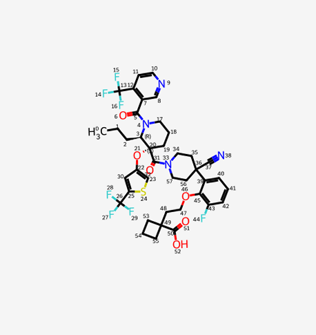 CCC[C@H]1N(C(=O)c2cnccc2C(F)(F)F)CCC[C@@]1(Oc1csc(C(F)(F)F)c1)C(=O)N1CCC(C#N)(c2cccc(F)c2OCCC2(C(=O)O)CCC2)CC1